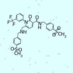 CS(=O)(=O)c1ccc(CNCc2ccc(C(=O)NCc3ccc(S(C)(=O)=O)cc3)c(=O)n2-c2cccc(C(F)(F)F)c2)cc1